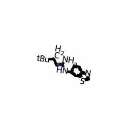 C=C(/C=C(\N)Nc1ccc2ncsc2c1)C(C)(C)C